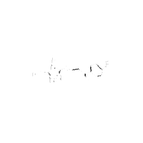 CCCc1nnc(S/C=C/C(=O)c2ccc(F)cc2)[nH]1